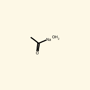 C[C](=O)[Na].O